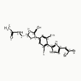 CC(=O)NC[C@H]1CN(c2cc(F)c(-c3nc(C=C(Br)Br)c[nH]3)c(F)c2)C(=O)O1